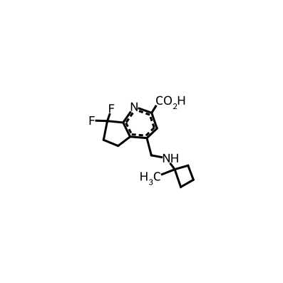 CC1(NCc2cc(C(=O)O)nc3c2CCC3(F)F)CCC1